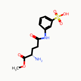 COC(=O)[C@@H](N)CCC(=O)Nc1cccc(S(=O)(=O)O)c1